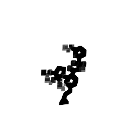 CC1CCN(c2nc(CCC3CC3)ccc2C(=O)NS(=O)(=O)c2cccc(N)n2)C1(C)C